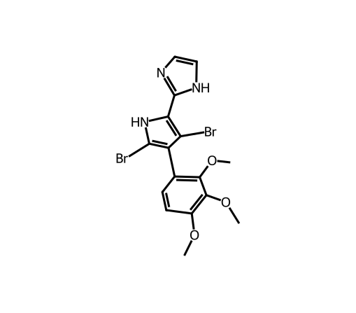 COc1ccc(-c2c(Br)[nH]c(-c3ncc[nH]3)c2Br)c(OC)c1OC